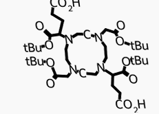 CC(C)(C)OC(=O)CN1CCN(C(CCC(=O)O)C(=O)OC(C)(C)C)CCN(CC(=O)OC(C)(C)C)CCN(C(CCC(=O)O)C(=O)OC(C)(C)C)CC1